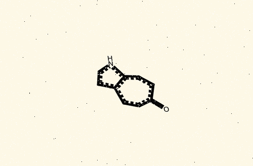 O=c1ccc2cc[nH]c2cc1